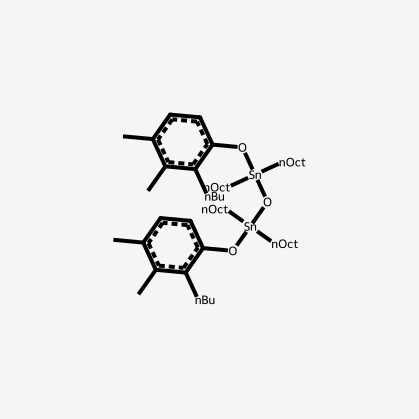 CCCCCCC[CH2][Sn]([CH2]CCCCCCC)([O]c1ccc(C)c(C)c1CCCC)[O][Sn]([CH2]CCCCCCC)([CH2]CCCCCCC)[O]c1ccc(C)c(C)c1CCCC